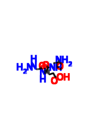 NNCC(=O)N[C@@H](CCC(=O)O)C(=O)NCC(N)=O